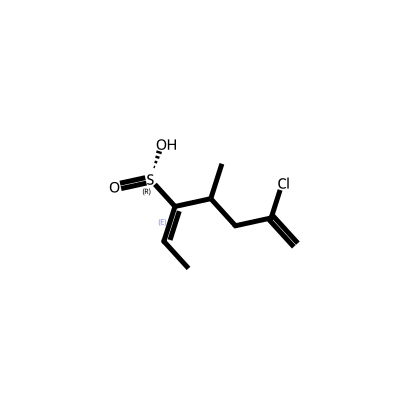 C=C(Cl)CC(C)/C(=C\C)[S@](=O)O